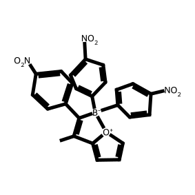 CC1=C(c2ccc([N+](=O)[O-])cc2)[B-](c2ccc([N+](=O)[O-])cc2)(c2ccc([N+](=O)[O-])cc2)[o+]2cccc21